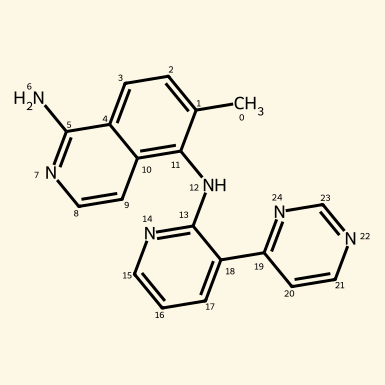 Cc1ccc2c(N)nccc2c1Nc1ncccc1-c1ccncn1